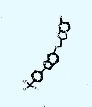 CC(C)(C)c1ccc(-c2cc3ccc(OCC4Cn5ccc(=O)nc5O4)cc3s2)cc1